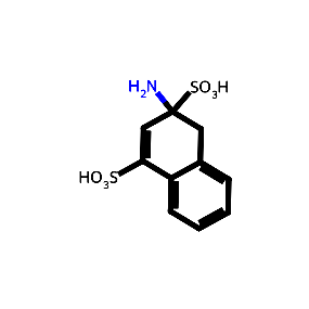 NC1(S(=O)(=O)O)C=C(S(=O)(=O)O)c2ccccc2C1